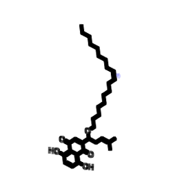 CCCCCCCC/C=C\CCCCCCCCOC(CC=C(C)C)C1=CC(=O)c2c(O)ccc(O)c2C1=O